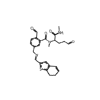 CNC(=O)C(CCC=O)N(C)C(=O)c1cc(C/N=C/c2cc3c(s2)CCC=C3)ccc1C=O